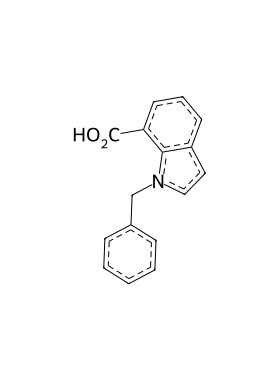 O=C(O)c1cccc2ccn(Cc3ccccc3)c12